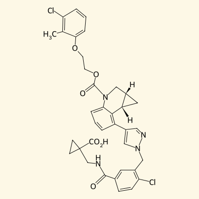 Cc1c(Cl)cccc1OCCOC(=O)N1C[C@@H]2C[C@@H]2c2c(-c3cnn(Cc4cc(C(=O)NCC5(C(=O)O)CC5)ccc4Cl)c3)cccc21